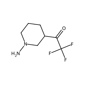 NN1CCCC(C(=O)C(F)(F)F)C1